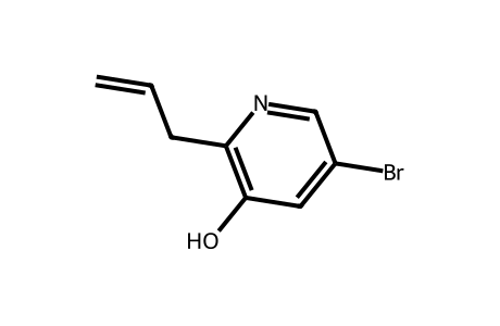 C=CCc1ncc(Br)cc1O